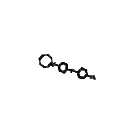 C1=CCCC=CCC1.Cc1cc[c]([Pt][c]2ccc(C)cc2)cc1